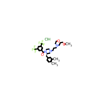 COCC1CN(CCCN2CCN(C(=O)c3cc(C(F)(F)F)cc(C(F)(F)F)c3)[C@H](Cc3ccc(C)c(C)c3)C2)CCO1.Cl